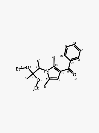 CCOC(C)(OCC)C(C)n1c(C)cc(C(=O)c2ccccc2)c1C